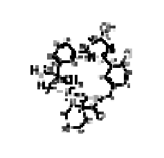 COC1(C(=O)NCc2ccc(Cl)c(-c3nc(O)nc(-c4cccc(C(C)(C)C)c4)n3)c2)CCCCC1